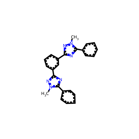 Cn1nc(-c2cccc(-c3nc(-c4ccccc4)n(C)n3)c2)nc1-c1ccccc1